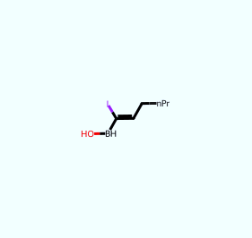 CCCC/C=C(\I)BO